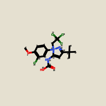 COc1ccc([N+]2(CC(Cl)(Cl)Cl)N=C(C(C)(C)C)C=C2NC(=O)O)cc1Cl